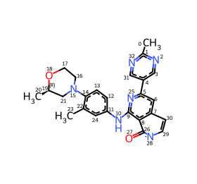 Cc1ncc(-c2cc3c(c(Nc4ccc(N5CCO[C@H](C)C5)c(C)c4)n2)C(=O)[N]C=C3)cn1